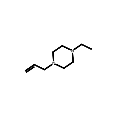 C=CCN1CCN(CC)CC1